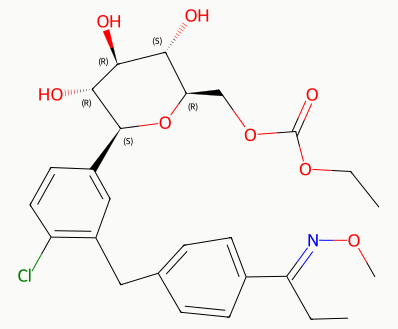 CCOC(=O)OC[C@H]1O[C@@H](c2ccc(Cl)c(Cc3ccc(C(CC)=NOC)cc3)c2)[C@H](O)[C@@H](O)[C@@H]1O